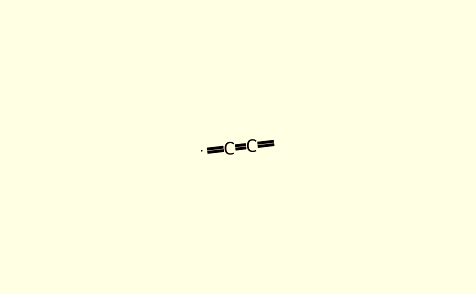 [CH]=C=C=C